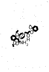 CCOc1cccc(OCC)c1C(C(N)=O)N1CCN(CC(O)COc2ccccc2OC)CC1